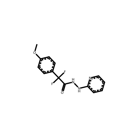 COc1ccc(C(F)(F)C(=O)NNc2ccccn2)cc1